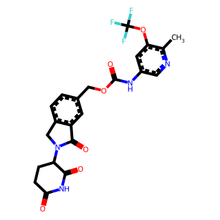 Cc1ncc(NC(=O)OCc2ccc3c(c2)C(=O)N(C2CCC(=O)NC2=O)C3)cc1OC(F)(F)F